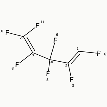 FC=C(F)C(F)(F)C(F)=C(F)F